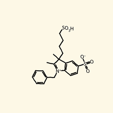 CC1=[N+](Cc2ccccc2)c2ccc(S(=O)(=O)[O-])cc2C1(C)CCCCS(=O)(=O)O